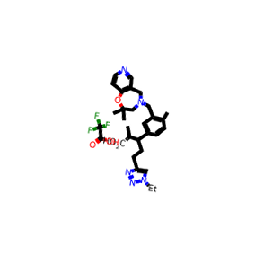 CCn1cc(CCC(c2ccc(C)c(CN3Cc4cnccc4OC(C)(C)C3)c2)C(C)C(=O)O)nn1.O=C(O)C(F)(F)F